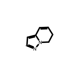 [c]1cc2n(n1)CCC=C2